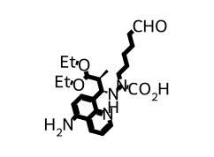 CCOC(OCC)[C@@H](C)[C@H](NN(CCCCCC=O)C(=O)O)c1ccc(N)c2cccnc12